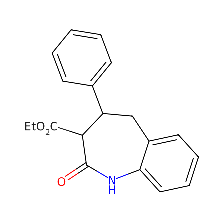 CCOC(=O)C1C(=O)Nc2ccccc2CC1c1ccccc1